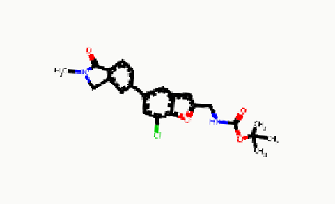 CN1Cc2cc(-c3cc(Cl)c4oc(CNC(=O)OC(C)(C)C)cc4c3)ccc2C1=O